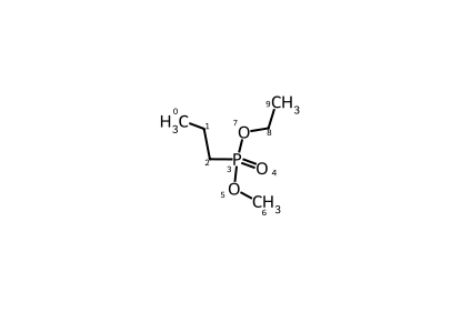 CCCP(=O)(OC)OCC